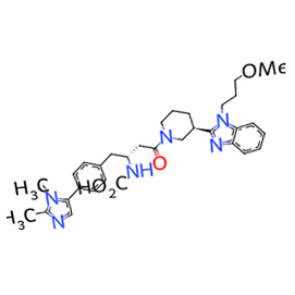 COCCCn1c([C@@H]2CCCN(C(=O)C[C@@H](Cc3ccc(-c4cnc(C)n4C)cc3)NC(=O)O)C2)nc2ccccc21